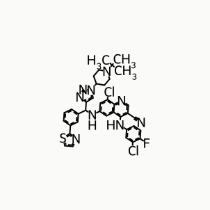 CC(C)(C)N1CCC(n2cc(C(Nc3cc(Cl)c4ncc(C#N)c(Nc5ccc(F)c(Cl)c5)c4c3)c3cccc(-c4nccs4)c3)nn2)CC1